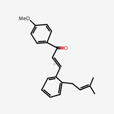 COc1ccc(C(=O)/C=C/c2ccccc2CC=C(C)C)cc1